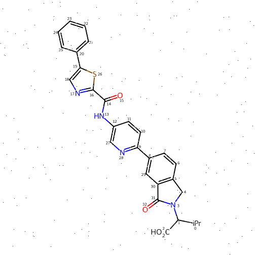 CC(C)C(C(=O)O)N1Cc2ccc(-c3ccc(NC(=O)c4ncc(-c5ccccc5)s4)cn3)cc2C1=O